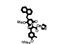 CCCCCCOc1ccc(-c2sc3c(OC)c(Cc4cccc5ccccc45)cc(=O)n3c2C(=O)On2ccnc2)cc1C